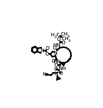 CC(C)(C)OC(=O)NC1CCCCCC=CC2CC2(C(=O)NS(=O)(=O)N(CCC#N)C2CC2)NC(=O)C2CC(OC(=O)N3Cc4ccccc4C3)CN2C1=O